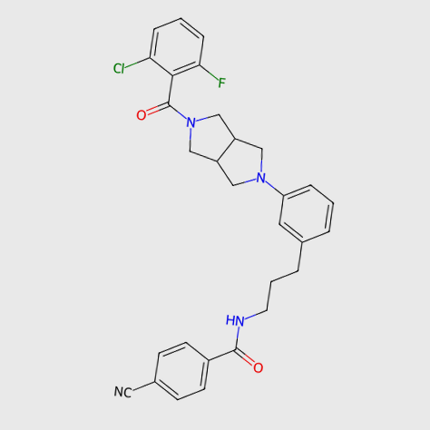 N#Cc1ccc(C(=O)NCCCc2cccc(N3CC4CN(C(=O)c5c(F)cccc5Cl)CC4C3)c2)cc1